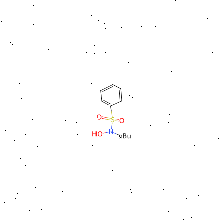 CCCCN(O)S(=O)(=O)c1ccccc1